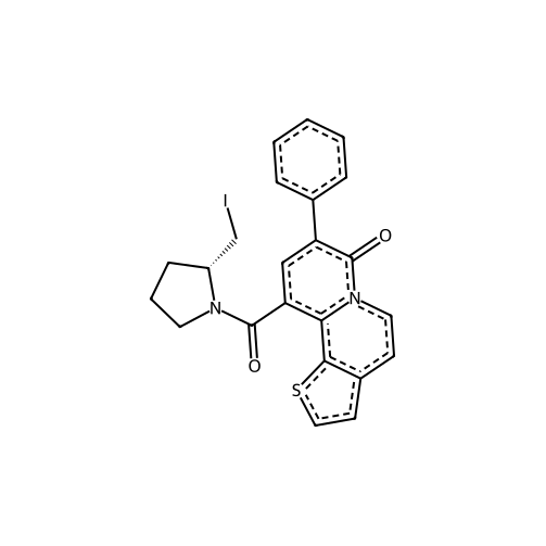 O=C(c1cc(-c2ccccc2)c(=O)n2ccc3ccsc3c12)N1CCC[C@@H]1CI